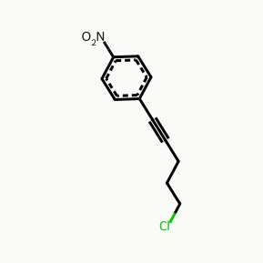 O=[N+]([O-])c1ccc(C#CCCCCl)cc1